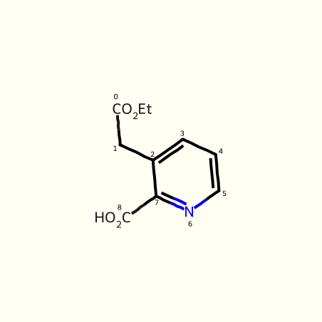 CCOC(=O)Cc1cccnc1C(=O)O